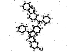 Clc1ccc2sc3c(c2c1)c1ccc(N(c2ccccc2)c2ccc4c(c2)sc2ccccc24)cc1n3-c1ccccc1